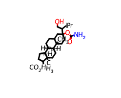 CC(C)C(CO)C1(OC(N)=O)CC[C@@]2(C)C(CC[C@@H]3[C@@H]2CC[C@]2(C)C(C(=O)O)CC[C@@H]32)C1